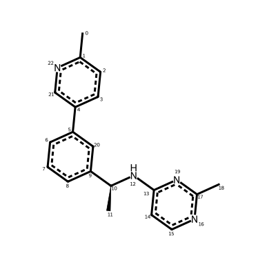 Cc1ccc(-c2cccc([C@H](C)Nc3ccnc(C)n3)c2)cn1